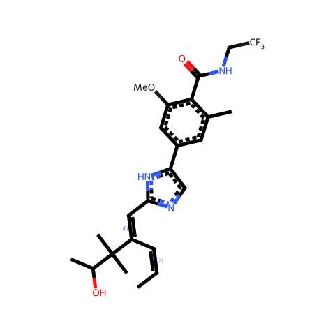 C/C=C\C(=C/c1ncc(-c2cc(C)c(C(=O)NCC(F)(F)F)c(OC)c2)[nH]1)C(C)(C)C(C)O